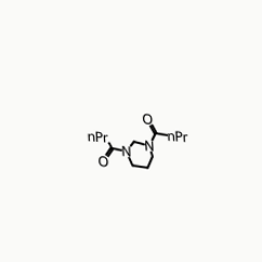 CCCC(=O)N1CCCN(C(=O)CCC)C1